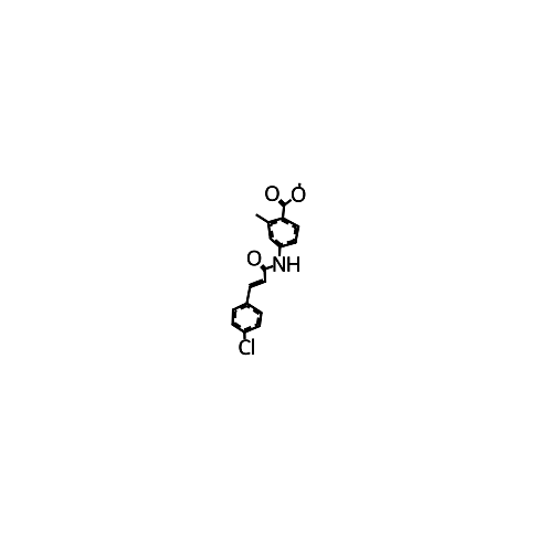 COC(=O)c1ccc(NC(=O)/C=C/c2ccc(Cl)cc2)cc1C